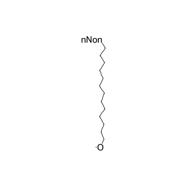 CCCCCCCCCCCCCCCCCCCCCC[O]